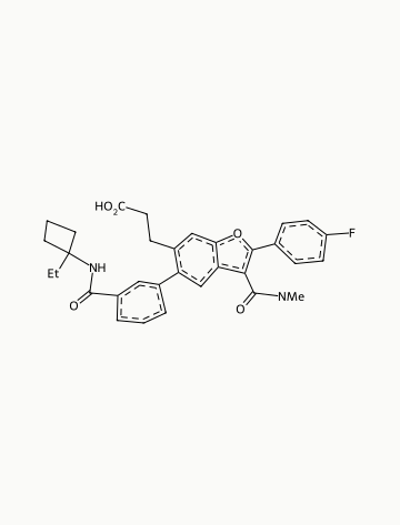 CCC1(NC(=O)c2cccc(-c3cc4c(C(=O)NC)c(-c5ccc(F)cc5)oc4cc3CCC(=O)O)c2)CCC1